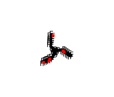 FC(F)(F)C(F)(F)C(F)(F)C(F)(F)C(F)(F)C(F)(F)CCOB1OB(OCCC(F)(F)C(F)(F)C(F)(F)C(F)(F)C(F)(F)C(F)(F)F)OB(OCCC(F)(F)C(F)(F)C(F)(F)C(F)(F)C(F)(F)C(F)(F)F)O1